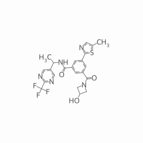 Cc1cnc(-c2cc(C(=O)NC(C)c3cnc(C(F)(F)F)nc3)cc(C(=O)N3CC(O)C3)c2)s1